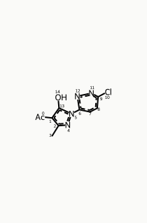 CC(=O)c1c(C)nn(-c2ccc(Cl)nn2)c1O